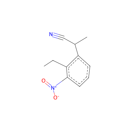 CCc1c(C(C)C#N)cccc1[N+](=O)[O-]